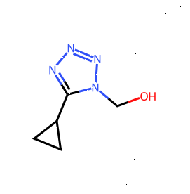 OCn1nnnc1C1CC1